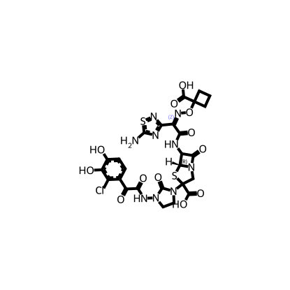 Nc1nc(/C(=N/OC2(C(=O)O)CCC2)C(=O)NC2C(=O)N3CC(C(=O)O)(N4CCN(NC(=O)C(=O)c5ccc(O)c(O)c5Cl)C4=O)S[C@H]23)ns1